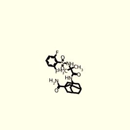 CC(C)(NS(=O)(=O)c1c(F)cccc1F)C(=O)NC12CC3CC(C1)CC(C(N)=O)(C3)C2